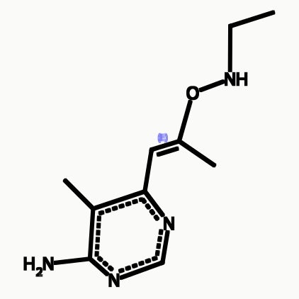 CCNO/C(C)=C/c1ncnc(N)c1C